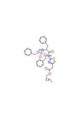 CCOC(=O)Cc1csc(NC(=O)C(Cc2ccccc2)NP(=O)(OCc2ccccc2)OCc2ccccc2)n1